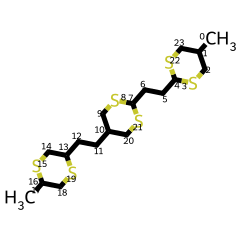 CC1CSC(CCC2SCC(CCC3CSC(C)CS3)CS2)SC1